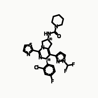 O=C(N[C@H]1CC2=C(c3ccn(C(F)F)n3)[C@H](c3ccc(F)cc3Cl)N=C(c3nccs3)N2C1)N1CCCCC1